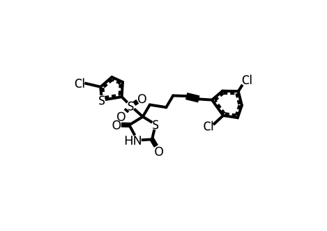 O=C1NC(=O)C(CCCC#Cc2cc(Cl)ccc2Cl)(S(=O)(=O)c2ccc(Cl)s2)S1